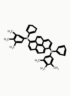 Cc1cc(N(C2=CCCC=C2)c2ccc3ccc4c(N(c5ccccc5)c5cc(C)c(C)c(C)c5)ccc5ccc2c3c54)cc(C)c1C